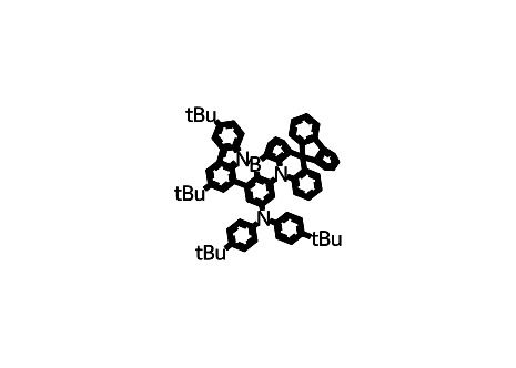 CC(C)(C)c1ccc(N(c2ccc(C(C)(C)C)cc2)c2cc3c4c(c2)N2c5ccccc5C5(c6ccccc6-c6ccccc65)c5cccc(c52)B4n2c4ccc(C(C)(C)C)cc4c4cc(C(C)(C)C)cc-3c42)cc1